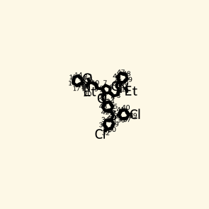 CCN1/C(=C/C=C2\CCC(/C=C/c3oc4ccccc4[n+]3CC)=C2Oc2ccc([S+](c3ccc(Cl)cc3)c3ccc(Cl)cc3)cc2)Oc2ccccc21